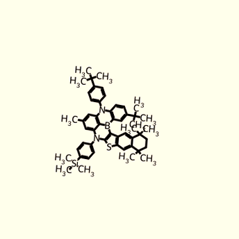 Cc1cc2c3c(c1)N(c1ccc([Si](C)(C)C)cc1)c1sc4cc5c(cc4c1B3c1cc(C(C)(C)C)ccc1N2c1ccc(C(C)(C)C)cc1)C(C)(C)CCC5(C)C